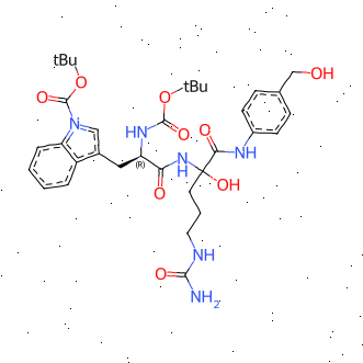 CC(C)(C)OC(=O)N[C@H](Cc1cn(C(=O)OC(C)(C)C)c2ccccc12)C(=O)NC(O)(CCCNC(N)=O)C(=O)Nc1ccc(CO)cc1